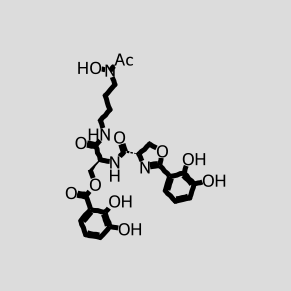 CC(=O)N(O)CCCCNC(=O)[C@H](COC(=O)c1cccc(O)c1O)NC(=O)[C@@H]1COC(c2cccc(O)c2O)=N1